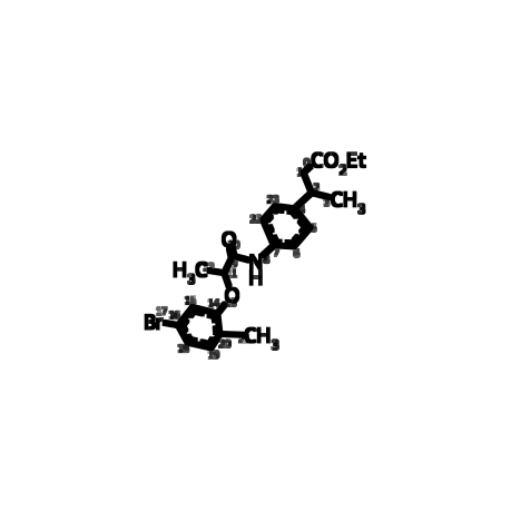 CCOC(=O)CC(C)c1ccc(NC(=O)C(C)Oc2cc(Br)ccc2C)cc1